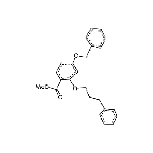 COC(=O)c1ccc(OCc2ccccc2)cc1OCCCc1ccccc1